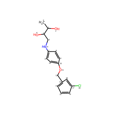 CC(O)C(O)CNc1ccc(OCc2cccc(Cl)c2)cc1